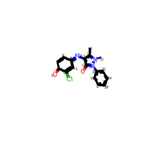 Cc1c(N=C2C=CC(=O)C(Cl)=C2)c(=O)n(-c2ccccc2)n1C